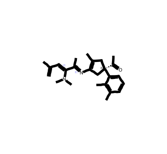 C=C(C)/C=C(/C(C)=N/C1=C(C)C[C@@](C(C)=O)(c2cccc(C)c2C)C1)N(C)C